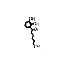 CCCCCCC(Br)c1cccc(O)c1O